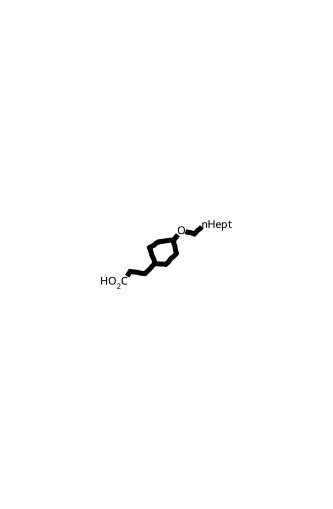 CCCCCCCCOC1CCC(CCC(=O)O)CC1